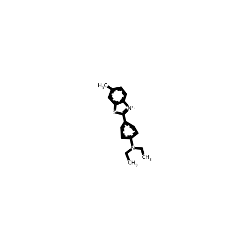 CCN(CC)c1ccc(C2=[N+]c3ccc(C)cc3S2)cc1